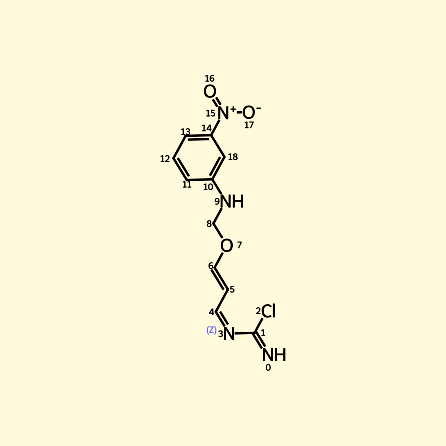 N=C(Cl)/N=C\C=COCNc1cccc([N+](=O)[O-])c1